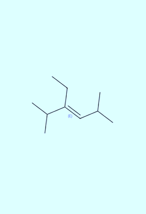 CC/C(=C\C(C)C)C(C)C